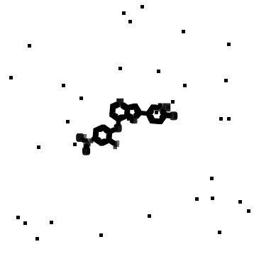 O=c1ccc(-c2cc3nccc(Oc4ccc([N+](=O)[O-])cc4F)c3s2)c[nH]1